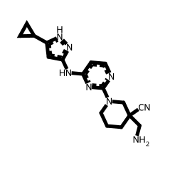 N#CC1(CN)CCCN(c2nccc(Nc3cc(C4CC4)[nH]n3)n2)C1